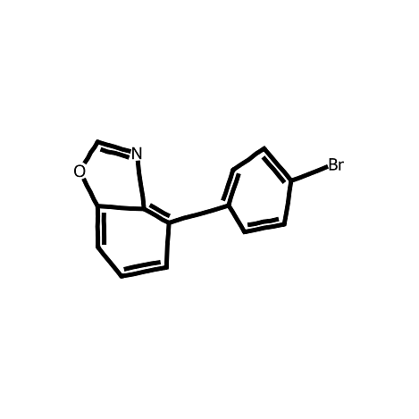 Brc1ccc(-c2cccc3ocnc23)cc1